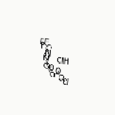 Cl.O=C(Cc1cccc(C(=O)c2ccc(Cl)cc2)c1)OCCN1CCN(c2cccc(C(F)(F)F)c2)CC1